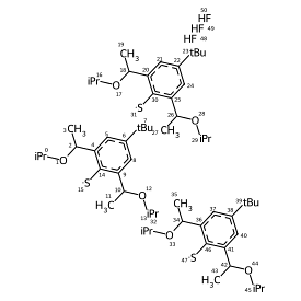 CC(C)OC(C)c1cc(C(C)(C)C)cc(C(C)OC(C)C)c1[S].CC(C)OC(C)c1cc(C(C)(C)C)cc(C(C)OC(C)C)c1[S].CC(C)OC(C)c1cc(C(C)(C)C)cc(C(C)OC(C)C)c1[S].F.F.F